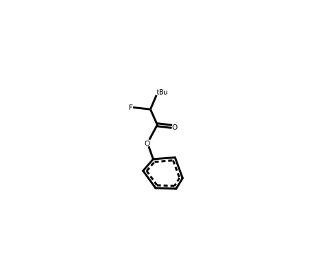 CC(C)(C)C(F)C(=O)Oc1ccccc1